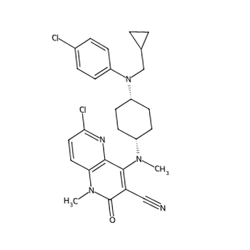 Cn1c(=O)c(C#N)c(N(C)[C@H]2CC[C@@H](N(CC3CC3)c3ccc(Cl)cc3)CC2)c2nc(Cl)ccc21